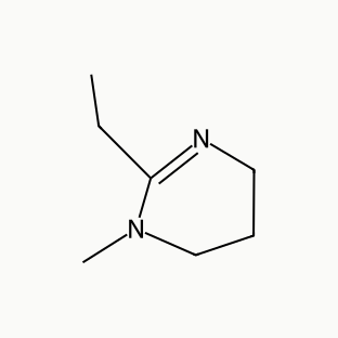 CCC1=NCCCN1C